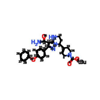 CC(C)(C)OC(=O)N1CC=C(C2CCNc3c(C(N)=O)c(-c4ccc(Oc5ccccc5)cc4)nn32)CC1